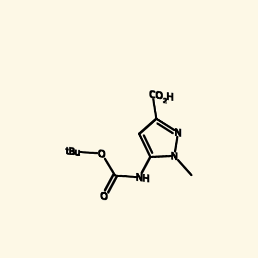 Cn1nc(C(=O)O)cc1NC(=O)OC(C)(C)C